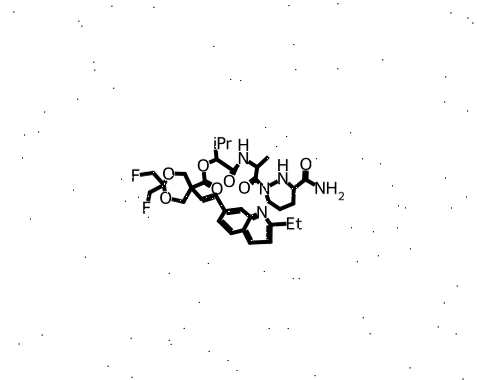 CCc1ccc2ccc(/C=C/C3(C(=O)OC(C(=O)NC(C)C(=O)N4CCCC(C(N)=O)N4)C(C)C)COC(CF)(CF)OC3)cc2n1